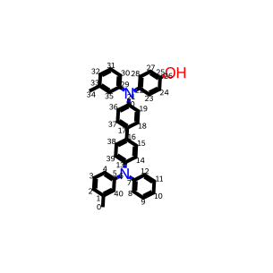 Cc1cccc(N(c2ccccc2)c2ccc(-c3ccc(N(c4ccc(O)cc4)c4cccc(C)c4)cc3)cc2)c1